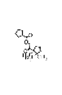 CC1(C)C=CC[C@]1(C)C(=O)COC(=O)C1CCCC1